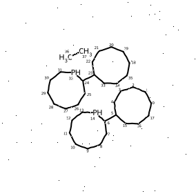 C1CCCCC(C2CCCCCCCP2)CCC1.C1CCCCC(C2CCCCCCCP2)CCC1.CC